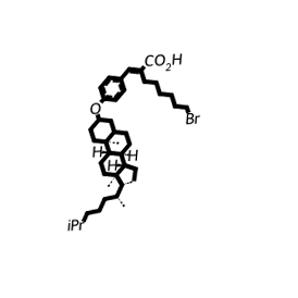 CC(C)CCC[C@@H](C)[C@H]1CC[C@H]2[C@@H]3CCC4CC(Oc5ccc(C=C(CCCCCCBr)C(=O)O)cc5)CC[C@]4(C)[C@H]3CC[C@]12C